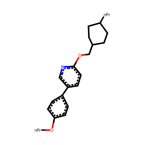 CCCOc1ccc(-c2ccc(OCC3CCC(CCC)CC3)nc2)cc1